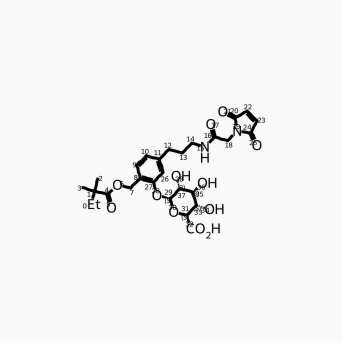 CCC(C)(C)C(=O)OCc1ccc(CCCNC(=O)CN2C(=O)C=CC2=O)cc1O[C@@H]1O[C@H](C(=O)O)[C@@H](O)[C@H](O)[C@H]1O